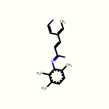 C/C=C(\C=C/I)/C=C/C(I)=N/c1c(C)ccc(C)c1C